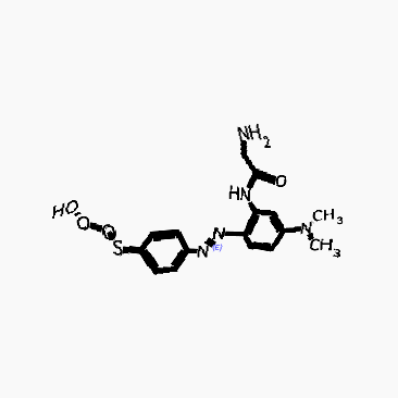 CN(C)c1ccc(/N=N/c2ccc(SOOO)cc2)c(NC(=O)CN)c1